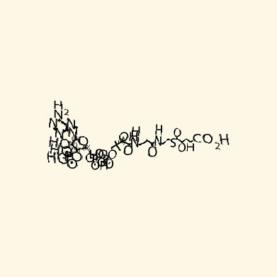 CC(C)(COP(=O)(O)OP(=O)(O)OC[C@H]1O[C@@H](n2cnc3c(N)ncnc32)[C@H](O)[C@@H]1OP(=O)(O)O)[C@@H](O)C(=O)NCCC(=O)NCCSC(=O)C(O)CCC(=O)O